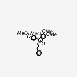 COCOc1ccc(C2c3c(cc(OC)c(OC)c3OC)C(=O)N2CCCc2ccccc2)cc1